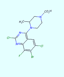 CC1CN(C(=O)O)CCN1c1nc(Cl)nc2c(F)c(Br)c(Cl)cc12